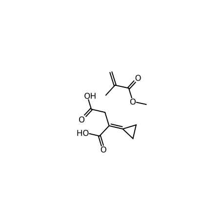 C=C(C)C(=O)OC.O=C(O)CC(C(=O)O)=C1CC1